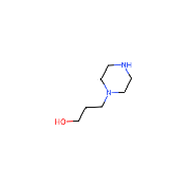 OCCCN1[CH]CNCC1